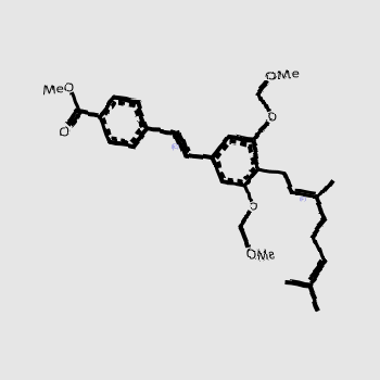 COCOc1cc(/C=C/c2ccc(C(=O)OC)cc2)cc(OCOC)c1C/C=C(\C)CCC=C(C)C